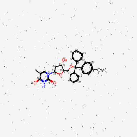 COc1ccc(C(OC[C@H]2O[C@@H](n3cc(C)c(=O)[nH]c3=O)C[C@@H]2O)(c2ccccc2)c2ccccc2)cc1